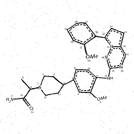 COc1cc(C2CCN(C(C)C(N)=O)CC2)ccc1Nc1ncc2ccc(-c3ccccc3OC)n2n1